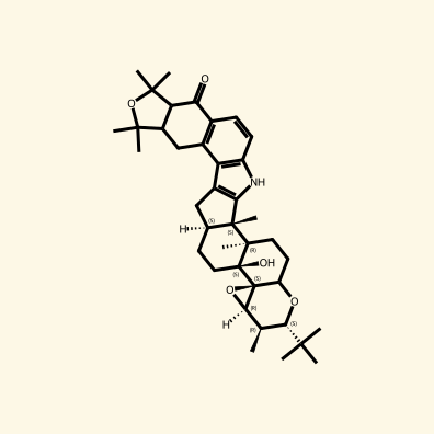 C[C@H]1[C@H]2O[C@@]23C(CC[C@@]2(C)[C@@]3(O)CC[C@H]3Cc4c([nH]c5ccc6c(c45)CC4C(C6=O)C(C)(C)OC4(C)C)[C@@]32C)O[C@@H]1C(C)(C)C